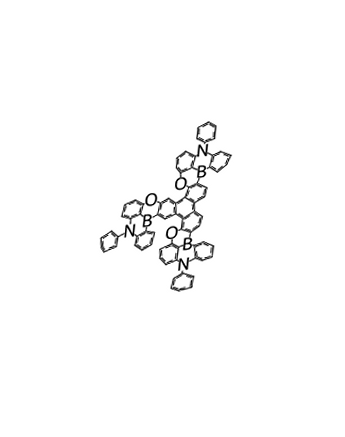 c1ccc(N2c3ccccc3B3c4cc5c(cc4Oc4cccc2c43)c2c3c(ccc2c2ccc4c(c25)Oc2cccc5c2B4c2ccccc2N5c2ccccc2)B2c4ccccc4N(c4ccccc4)c4cccc(c42)O3)cc1